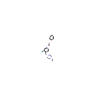 CCN1CCN(Cc2ccc(NC(=O)COc3ccc(Br)cc3F)cc2C(F)(F)F)CC1